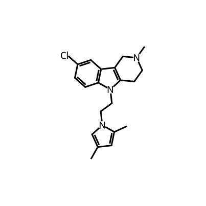 Cc1cc(C)n(CCn2c3c(c4cc(Cl)ccc42)CN(C)CC3)c1